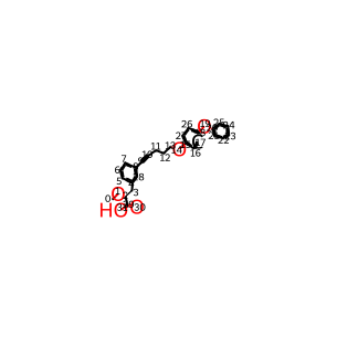 CO[C@@H](Cc1cccc(C#CCCCOc2ccc(Oc3ccccc3)cc2)c1)C(=O)O